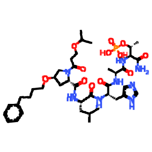 CC(C)C[C@H](NC(=O)[C@@H]1C[C@@H](OCCCCc2ccccc2)CN1C(=O)CCOC(C)C)C(=O)N[C@@H](Cc1cnc[nH]1)C(=O)N[C@@H](C)C(=O)N[C@H](C(N)=O)[C@@H](C)OP(=O)(O)O